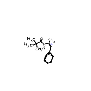 C/C(=C/c1ccccc1)NC(=O)C(C)(C)C